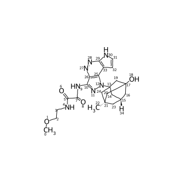 COCCNC(=O)C(=O)Nc1nn(C23C[C@@H]4CC(O)(C2)C[C@@](C)(C4)C3)c2c1nnc1[nH]ccc12